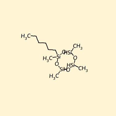 CCCCCC[Si]1(C)O[SiH](C)O[SiH](C)O[SiH](C)O1